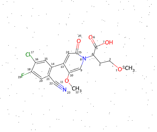 COCCC(C(=O)O)n1cc(OC)c(-c2cc(Cl)c(F)cc2C#N)cc1=O